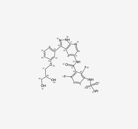 CCCS(=O)(=O)Nc1ccc(F)c(C(=O)Nc2cnc3[nH]nc(-c4cccc(OCC(O)CO)c4)c3c2)c1F